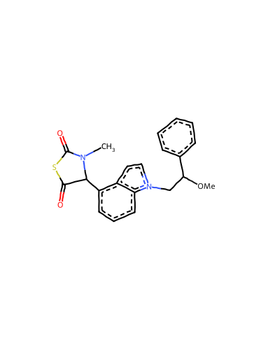 COC(Cn1ccc2c(C3C(=O)SC(=O)N3C)cccc21)c1ccccc1